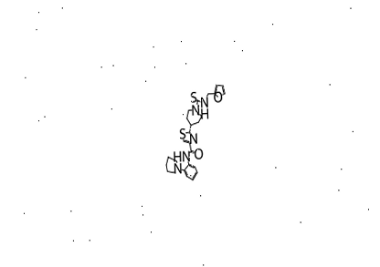 O=C(Nc1ccccc1N1CCCCC1)c1csc(C2CCN(C(=S)NCc3ccco3)CC2)n1